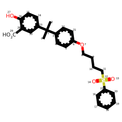 CC(C)(c1ccc(OCCCCS(=O)(=O)c2ccccc2)cc1)c1ccc(O)c(C(=O)O)c1